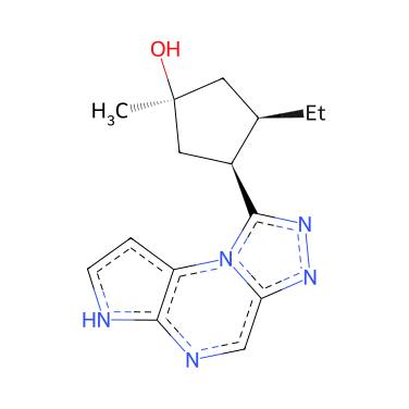 CC[C@@H]1C[C@](C)(O)C[C@@H]1c1nnc2cnc3[nH]ccc3n12